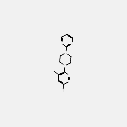 CC(C)c1cc(Cl)c(N2CCN(c3ncccn3)CC2)nn1